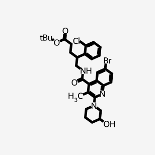 Cc1c(N2CCCC(O)C2)nc2ccc(Br)cc2c1C(=O)NCC(CCC(=O)OC(C)(C)C)c1ccccc1Cl